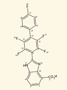 O=C(O)c1cccc2[nH]c(-c3c(F)c(F)c(-c4ccc(F)cc4)c(F)c3F)nc12